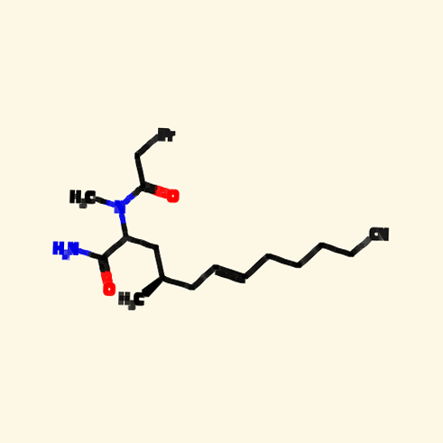 CC(C)CC(=O)N(C)C(C[C@H](C)C/C=C/CCCCC#N)C(N)=O